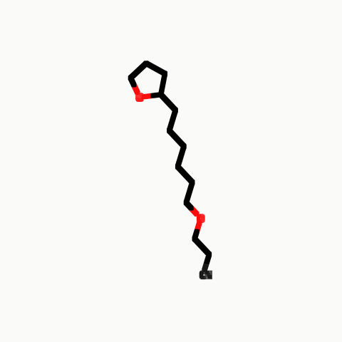 N#CCCOCCCCCCC1CCCO1